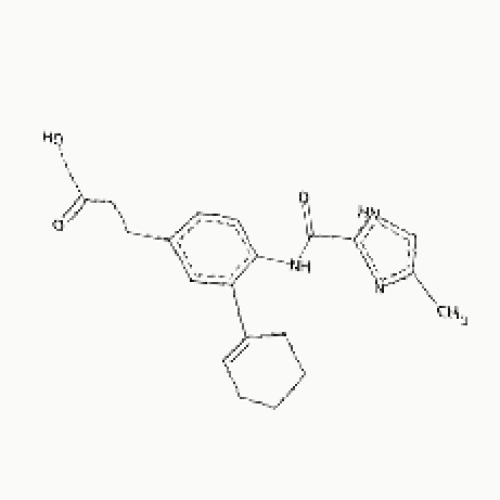 Cc1c[nH]c(C(=O)Nc2ccc(CCC(=O)O)cc2C2=CCCCC2)n1